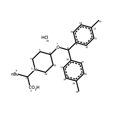 CCCCC(C(=O)O)N1CCC(OC(c2ccc(C)cc2)c2ccc(C)cc2)CC1.Cl